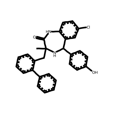 CC1(Cc2ccccc2-c2ccccc2)NC(c2ccc(O)cc2)c2cc(Cl)ccc2NC1=O